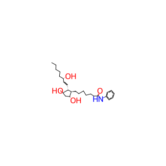 CCCCC[C@H](O)/C=C/[C@H]1[C@H](O)CC(O)[C@@H]1CCCCCCC(=O)Nc1ccccc1